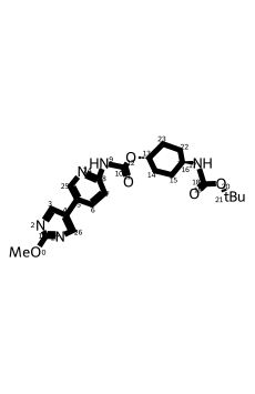 COc1ncc(-c2ccc(NC(=O)O[C@H]3CC[C@H](NC(=O)OC(C)(C)C)CC3)nc2)cn1